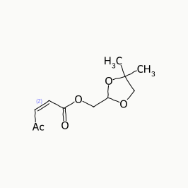 CC(=O)/C=C\C(=O)OCC1OCC(C)(C)O1